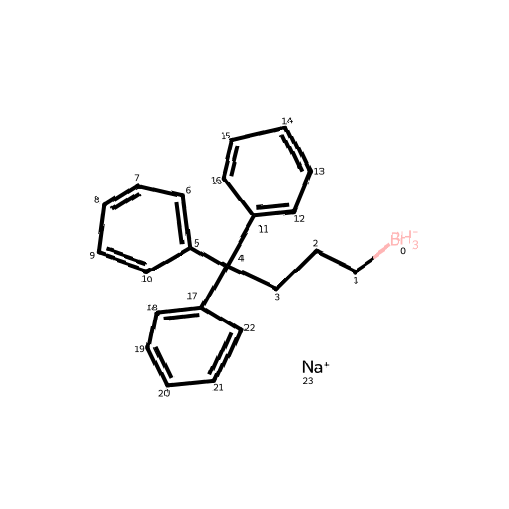 [BH3-]CCCC(c1ccccc1)(c1ccccc1)c1ccccc1.[Na+]